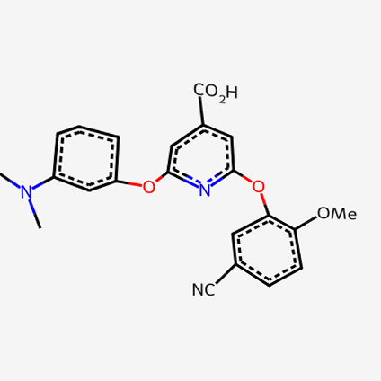 COc1ccc(C#N)cc1Oc1cc(C(=O)O)cc(Oc2cccc(N(C)C)c2)n1